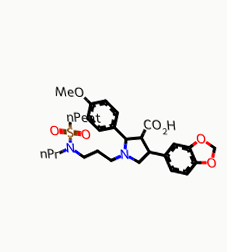 CCCCCS(=O)(=O)N(CCC)CCCN1CC(c2ccc3c(c2)OCO3)C(C(=O)O)C1c1ccc(OC)cc1